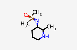 CC1NCCCC1N=S(C)(C)=O